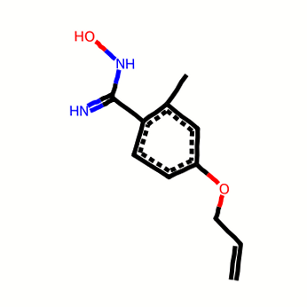 C=CCOc1ccc(C(=N)NO)c(C)c1